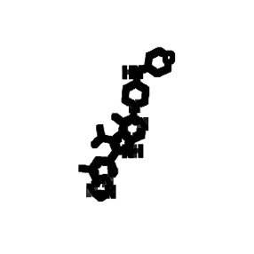 Cc1c(N2CCC(NC3CCOCC3)CC2)ncc2[nH]c(-c3cc(C)c4ncnn4c3)c(C(C)C)c12